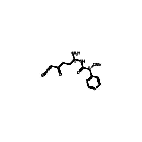 CO[C@@H](C(=O)N[C@@H](CCC(=O)C=[N+]=[N-])C(=O)O)c1ccncn1